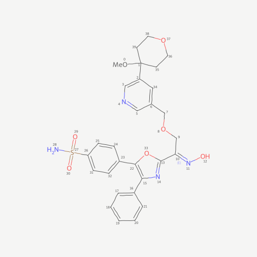 COC1(c2cncc(COC/C(=N\O)c3nc(-c4ccccc4)c(-c4ccc(S(N)(=O)=O)cc4)o3)c2)CCOCC1